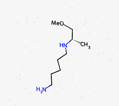 COC[C@H](C)NCCCCCN